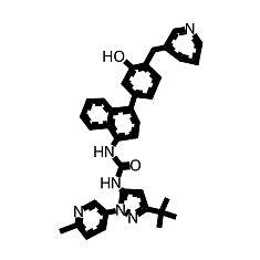 Cc1ccc(-n2nc(C(C)(C)C)cc2NC(=O)Nc2ccc(-c3ccc(Cc4cccnc4)c(O)c3)c3ccccc23)cn1